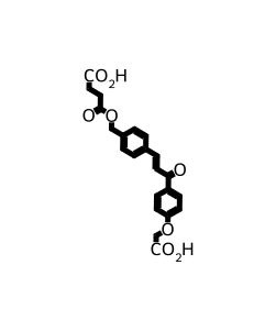 O=C(O)CCC(=O)OCc1ccc(C=CC(=O)c2ccc(OCC(=O)O)cc2)cc1